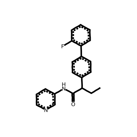 CCC(C(=O)Nc1cccnc1)c1ccc(-c2ccccc2F)cc1